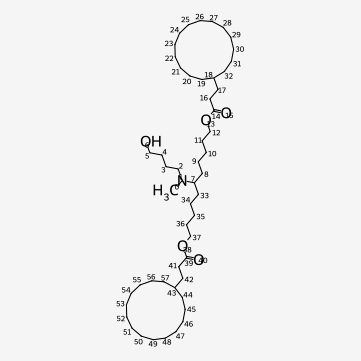 CN(CCCCO)C(CCCCCOC(=O)CCC1CCCCCCCCCCCCCC1)CCCCCOC(=O)CCC1CCCCCCCCCCCCCC1